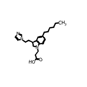 CCCCCCc1ccc2c(c1)C(CCn1ccnc1)CN2CCC(=O)O